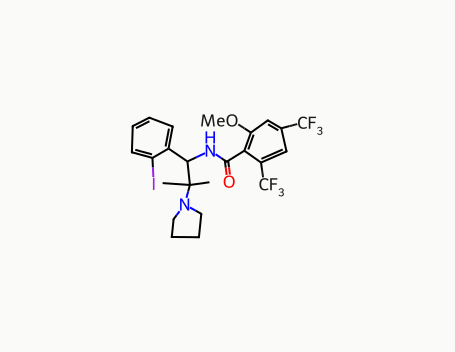 COc1cc(C(F)(F)F)cc(C(F)(F)F)c1C(=O)NC(c1ccccc1I)C(C)(C)N1CCCC1